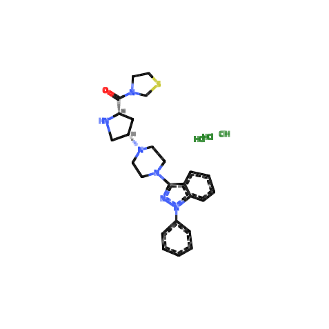 Cl.Cl.Cl.O=C([C@@H]1C[C@H](N2CCN(c3nn(-c4ccccc4)c4ccccc34)CC2)CN1)N1CCSC1